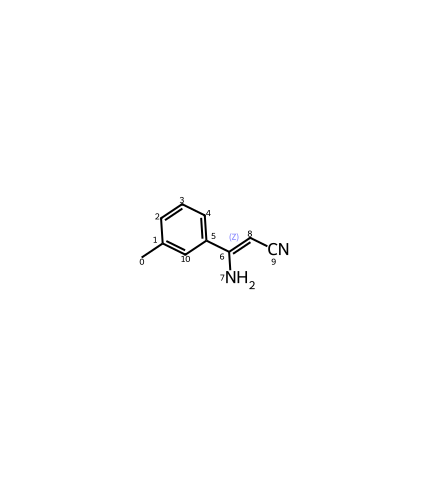 Cc1cccc(/C(N)=C/C#N)c1